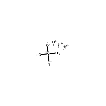 [Hf+4].[O-2].[O-][Si]([O-])([O-])[O-].[Si+4]